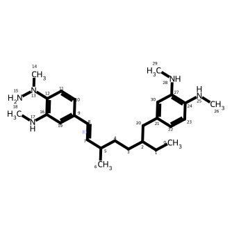 CCC(CCC(C)/C=C/c1ccc(N(C)N)c(NC)c1)Cc1ccc(NC)c(NC)c1